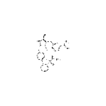 CC(C)c1[nH]n(Cc2ccc(-c3ccccc3S(=O)(=O)NC(C)(C)C)cc2)c(=O)c1Cc1cccc(C(=N)N)c1